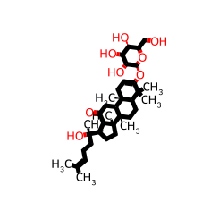 CC(C)=CCC[C@](C)(O)C1CC[C@]2(C)C1C(=O)CC1[C@@]3(C)CC=C(O[C@@H]4OC(CO)[C@@H](O)C(O)C4O)C(C)(C)C3CC[C@]12C